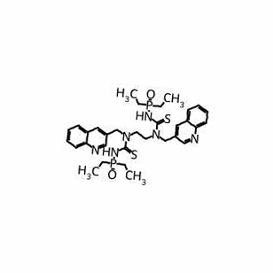 CCP(=O)(CC)NC(=S)N(CCN(Cc1cnc2ccccc2c1)C(=S)NP(=O)(CC)CC)Cc1cnc2ccccc2c1